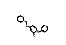 O=c1cc(SCc2ccccc2)ccn1Cc1ccccc1